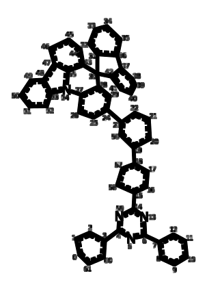 c1ccc(-c2nc(-c3ccccc3)nc(-c3ccc(-c4cccc(-c5ccc6c(c5)C5(c7ccccc7-c7ccccc75)c5cccc7c8ccccc8n-6c57)c4)cc3)n2)cc1